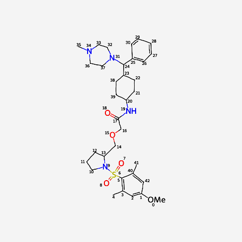 COc1cc(C)c(S(=O)(=O)N2CCCC2COCC(=O)NC2CCC(C(c3ccccc3)N3CCN(C)CC3)CC2)c(C)c1